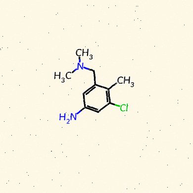 Cc1c(Cl)cc(N)cc1CN(C)C